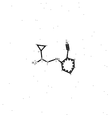 CN(SNc1ccccc1C#N)C1CC1